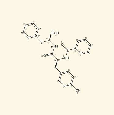 O=C(N[C@@H](Cc1ccc(O)cc1)C(=O)N[C@@H](Cc1ccccc1)C(=O)O)c1ccccc1